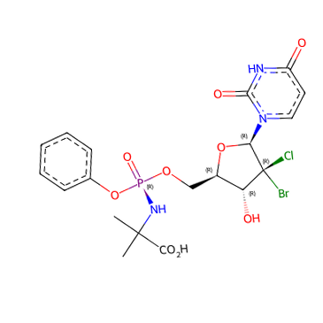 CC(C)(N[P@@](=O)(OC[C@H]1O[C@@H](n2ccc(=O)[nH]c2=O)[C@](Cl)(Br)[C@@H]1O)Oc1ccccc1)C(=O)O